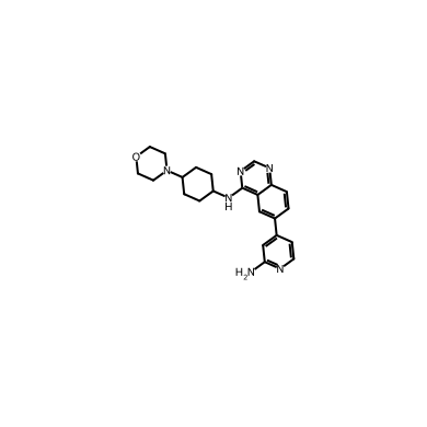 Nc1cc(-c2ccc3ncnc(NC4CCC(N5CCOCC5)CC4)c3c2)ccn1